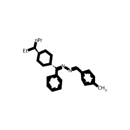 CCCC(CC)[C@H]1CC[C@H](C(=NN=Cc2ccc(C)cc2)c2ccccc2)CC1